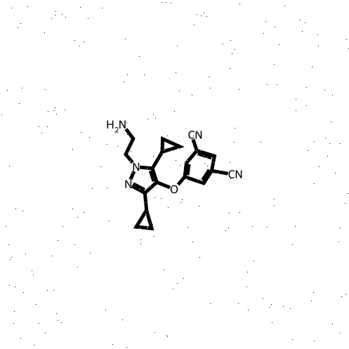 N#Cc1cc(C#N)cc(Oc2c(C3CC3)nn(CCN)c2C2CC2)c1